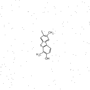 Cc1cc2c(cc1I)sc1c(C)c(O)ccc12